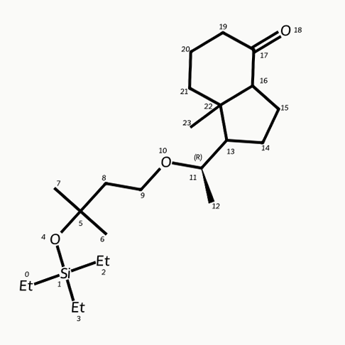 CC[Si](CC)(CC)OC(C)(C)CCO[C@H](C)C1CCC2C(=O)CCCC21C